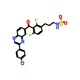 O=C(c1ccc2ncc(-c3ccc(Cl)cc3)nc2c1)c1c(F)ccc(CCCN[SH](=O)=O)c1F